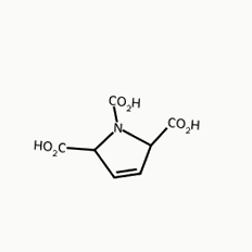 O=C(O)C1C=CC(C(=O)O)N1C(=O)O